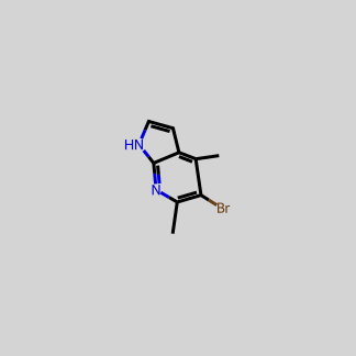 Cc1nc2[nH]ccc2c(C)c1Br